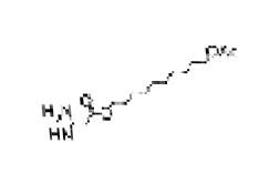 CC(=O)OCCCCCCCCCCOC(=O)CC(=N)N